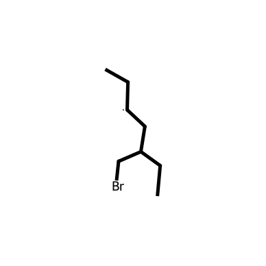 CC[CH]CC(CC)CBr